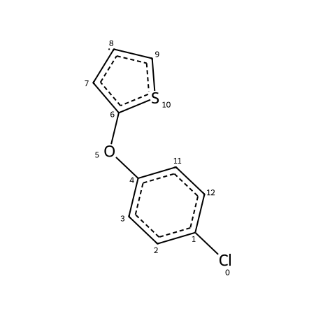 Clc1ccc(Oc2c[c]cs2)cc1